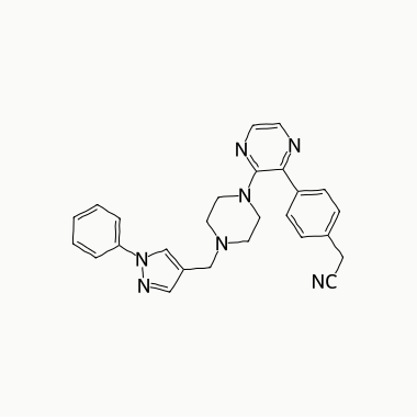 N#CCc1ccc(-c2nccnc2N2CCN(Cc3cnn(-c4ccccc4)c3)CC2)cc1